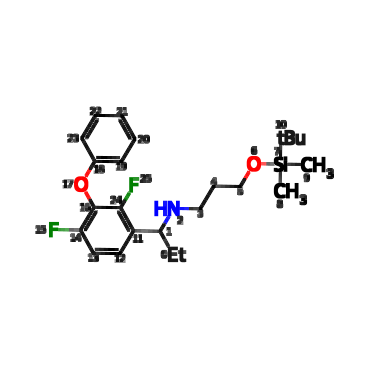 CCC(NCCCO[Si](C)(C)C(C)(C)C)c1ccc(F)c(Oc2ccccc2)c1F